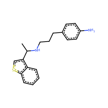 CC(NCCCc1ccc(N)cc1)c1csc2ccccc12